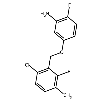 Cc1ccc(Cl)c(COc2ccc(F)c(N)c2)c1F